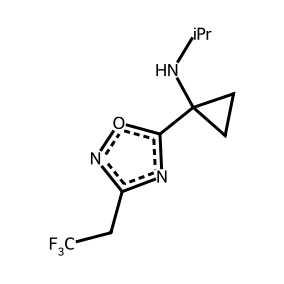 CC(C)NC1(c2nc(CC(F)(F)F)no2)CC1